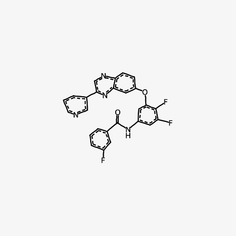 O=C(Nc1cc(F)c(F)c(Oc2ccc3ncc(-c4cccnc4)nc3c2)c1)c1cccc(F)c1